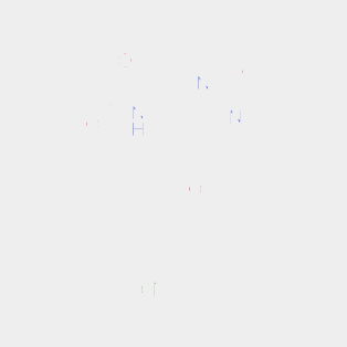 O=C1COC2CCN(C(=O)N3CCC(COc4ccc(Cl)cc4)C3)CC2N1